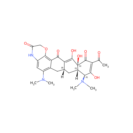 CC(=O)C1=C(O)[C@@H](N(C)C)[C@@H]2C[C@@H]3Cc4c(N(C)C)cc5c(c4C(=O)C3=C(O)[C@]2(O)C1=O)OCC(=O)N5